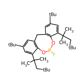 CC(C)(C)CC(C)(C)c1cc(C(C)(C)C)cc2c1OP(F)Oc1c(cc(C(C)(C)C)cc1C(C)(C)CC(C)(C)C)C2